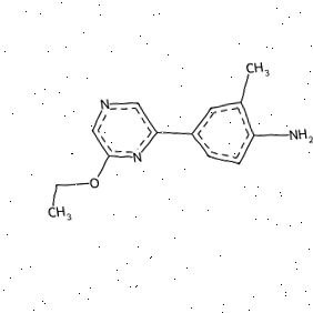 CCOc1cncc(-c2ccc(N)c(C)c2)n1